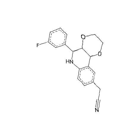 N#CCc1ccc2c(c1)C1OCCOC1C(c1cccc(F)c1)N2